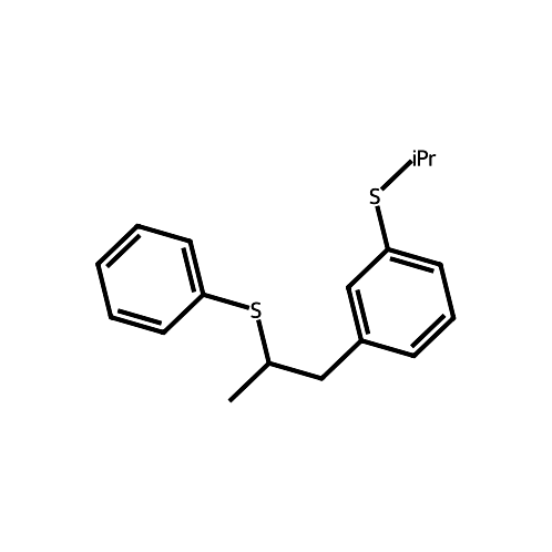 CC(C)Sc1cccc(CC(C)Sc2ccccc2)c1